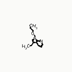 CCCOCn1cc(CC)c2cccnc21